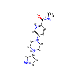 CNC(=O)c1ccc(N2CCN(C3CCNC3)CC2)cn1